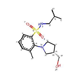 Cc1cccc(S(=O)(=O)NCC(C)C)c1N1CC[C@H](CO)C1